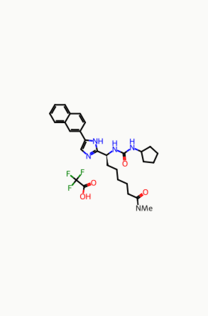 CNC(=O)CCCCC[C@H](NC(=O)NC1CCCC1)c1ncc(-c2ccc3ccccc3c2)[nH]1.O=C(O)C(F)(F)F